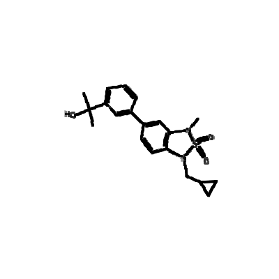 CN1c2cc(-c3cccc(C(C)(C)O)c3)ccc2N(CC2CC2)S1(=O)=O